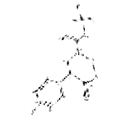 CC(C)(C)OC(=O)N1CCC(=O)C(c2ccc(F)cc2)C1